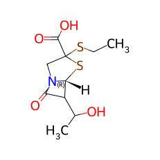 CCSC1(C(=O)O)CN2C(=O)C(C(C)O)[C@H]2S1